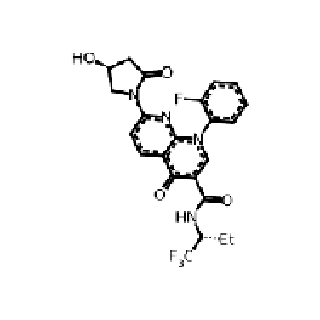 CC[C@@H](NC(=O)c1cn(-c2ccccc2F)c2nc(N3C[C@@H](O)CC3=O)ccc2c1=O)C(F)(F)F